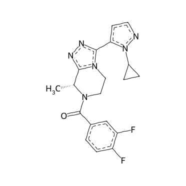 C[C@@H]1c2nnc(-c3ccnn3C3CC3)n2CCN1C(=O)c1ccc(F)c(F)c1